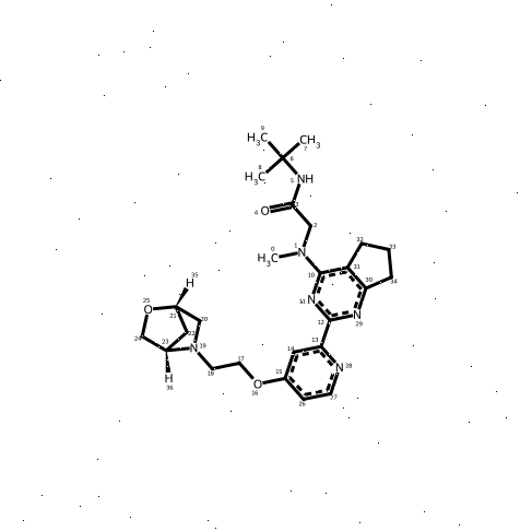 CN(CC(=O)NC(C)(C)C)c1nc(-c2cc(OCCN3C[C@@H]4C[C@H]3CO4)ccn2)nc2c1CCC2